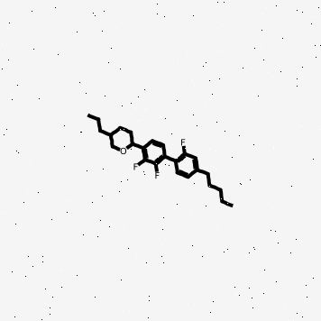 CCCCCc1ccc(-c2ccc(C3CCC(CCC)CO3)c(F)c2F)c(F)c1